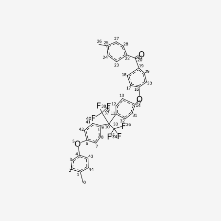 Cc1ccc(Oc2ccc(C(c3ccc(Oc4ccc(C(=O)c5ccc(C)cc5)cc4)cc3)(C(F)(F)F)C(F)(F)F)cc2)cc1